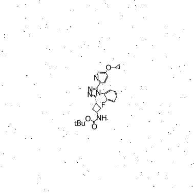 CC(C)(C)OC(=O)NC1CC(c2nnc(-c3ccc(OC4CC4)cn3)n2-c2ccccc2F)C1